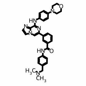 CN(C)Cc1ccc(NC(=O)c2cccc(-c3cn4ccnc4c(Nc4ccc(N5CCOCC5)cc4)n3)c2)cc1